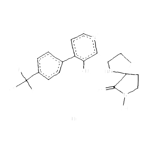 Cc1c(-c2ccc(C(F)(F)F)cc2)ccnc1[C@@H]1CC[C@@]2(CCN(C)C2=O)N1.Cl